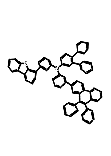 c1ccc(-c2ccc(N(c3cccc(-c4ccc5c(c4)c(-c4ccccc4)c(-c4ccccc4)c4ccccc45)c3)c3cccc(-c4cccc5c4sc4ccccc45)c3)cc2-c2ccccc2)cc1